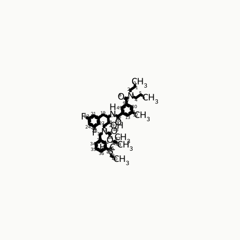 CCCN(CCC)C(=O)c1cc(C)cc(C(=O)NC(Cc2cc(F)cc(F)c2)[C@H](O)CN(Cc2cccc(SCC)c2)C(=O)OC(C)(C)C)c1